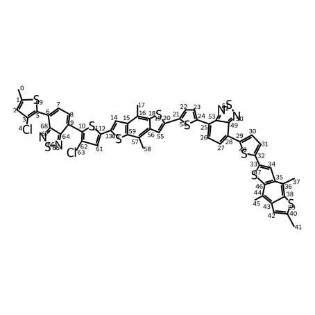 Cc1cc(Cl)c(-c2ccc(-c3sc(-c4cc5c(C)c6sc(-c7ccc(-c8ccc(-c9ccc(-c%10cc%11c(C)c%12sc(C)cc%12c(C)c%11s%10)s9)c9nsnc89)s7)cc6c(C)c5s4)cc3Cl)c3nsnc23)s1